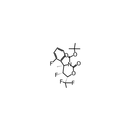 CC(C)(C)OC(=O)N1C(=O)O[C@H](C(C)(F)F)[C@H](F)[C@@]1(C)c1ccccc1F